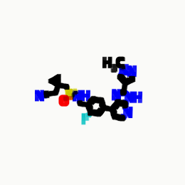 Cn1cc(-c2nc3c(-c4ccc(CN[S+]([O-])CC5(CC#N)CC5)c(F)c4)ccnc3[nH]2)cn1